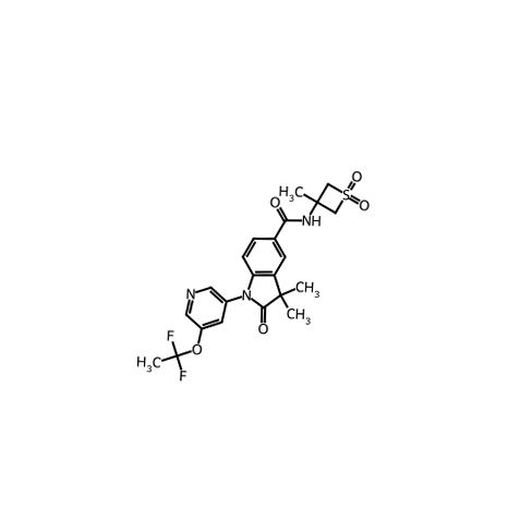 CC1(NC(=O)c2ccc3c(c2)C(C)(C)C(=O)N3c2cncc(OC(C)(F)F)c2)CS(=O)(=O)C1